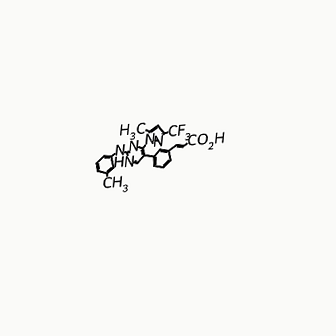 Cc1cccc(Nc2ncc(-c3cccc(C=CC(=O)O)c3)c(-n3nc(C(F)(F)F)cc3C)n2)c1